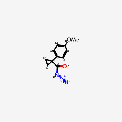 COc1ccc(C2(C(=O)N=[N+]=[N-])CC2)cc1